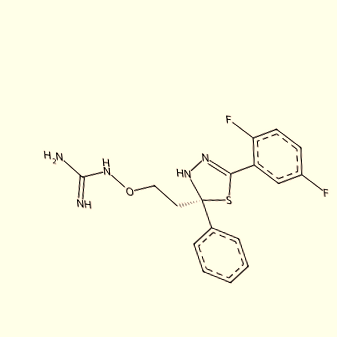 N=C(N)NOCC[C@]1(c2ccccc2)NN=C(c2cc(F)ccc2F)S1